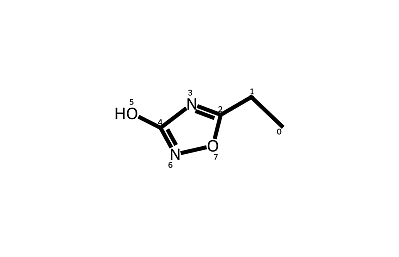 CCc1nc(O)no1